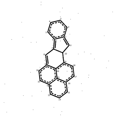 C1=c2ccccc2=C2C=c3ccc4cccc5ccc(c3c54)C12